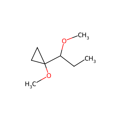 CCC(OC)C1(OC)CC1